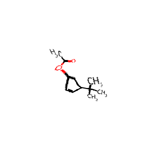 CC(=O)OC1C=CC(C(C)(C)C)C1